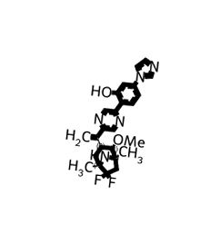 C=C(c1cnc(-c2ccc(-n3ccnc3)cc2O)cn1)[C@H]1C[C@@]2(C)N[C@](C)(CC2(F)F)[C@@H]1OC